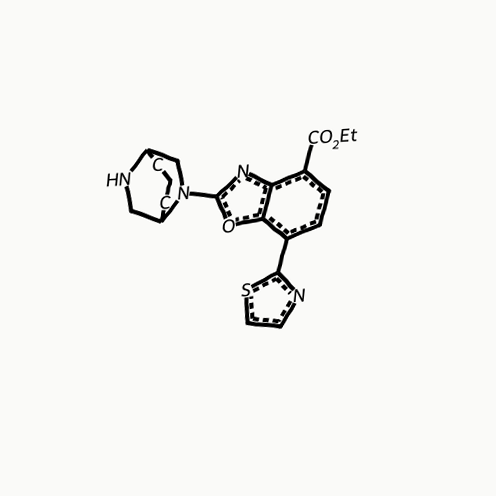 CCOC(=O)c1ccc(-c2nccs2)c2oc(N3CC4CCCC3CN4)nc12